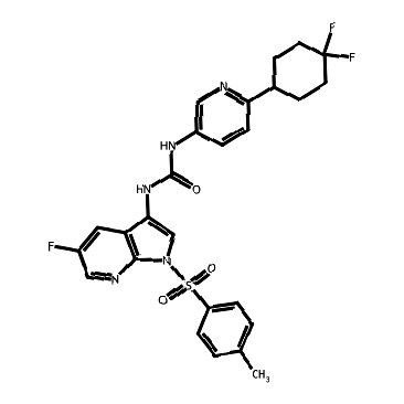 Cc1ccc(S(=O)(=O)n2cc(NC(=O)Nc3ccc(C4CCC(F)(F)CC4)nc3)c3cc(F)cnc32)cc1